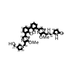 COc1nc(-c2cccc(-c3cccc(-c4cnc(CN5CC[C@H](CO)C5)c(OC)n4)c3Cl)c2Cl)cnc1CNC[C@@H]1CCC(=O)N1